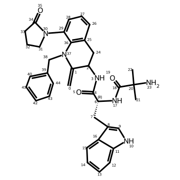 C=C1C(NC(=O)[C@@H](Cc2c[nH]c3ccccc23)NC(=O)C(C)(C)N)Cc2cccc(N3CCCC3=O)c2N1Cc1ccccc1